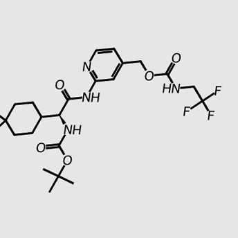 CC(C)(C)OC(=O)N[C@H](C(=O)Nc1cc(COC(=O)NCC(F)(F)F)ccn1)C1CCC(F)(F)CC1